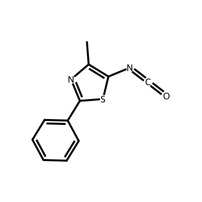 Cc1nc(-c2ccccc2)sc1N=C=O